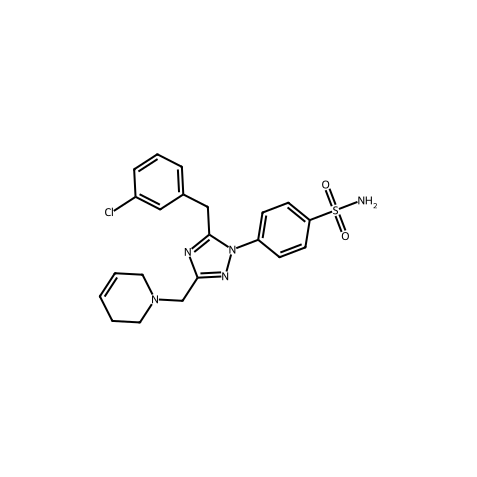 NS(=O)(=O)c1ccc(-n2nc(CN3CC=CCC3)nc2Cc2cccc(Cl)c2)cc1